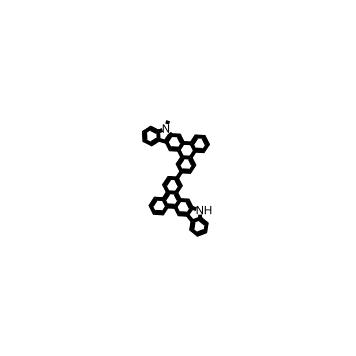 Cn1c2ccccc2c2cc3c4cc(-c5ccc6c7ccccc7c7cc8c(cc7c6c5)[nH]c5ccccc58)ccc4c4ccccc4c3cc21